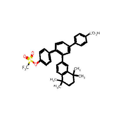 CC1(C)CCC(C)(C)c2cc(-c3cc(-c4ccc(C(=O)O)cc4)ccc3-c3ccc(OS(=O)(=O)C(F)(F)F)cc3)ccc21